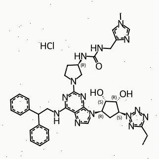 CCc1nnn([C@H]2C[C@@H](n3cnc4c(NCC(c5ccccc5)c5ccccc5)nc(N5CC[C@@H](NC(=O)NCc6cn(C)cn6)C5)nc43)[C@H](O)[C@@H]2O)n1.Cl